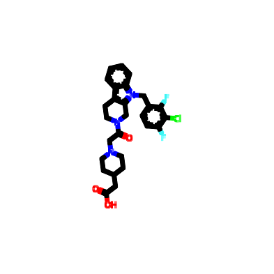 O=C(O)CC1CCN(CC(=O)N2CCc3c(n(Cc4ccc(F)c(Cl)c4F)c4ccccc34)C2)CC1